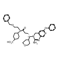 NC1=Nc2cnc(Oc3ccccc3)cc2CN1[C@@H](CCC(=O)N(CCOCc1ccccc1)C1CCC(C(=O)O)CC1)C1CCOCC1